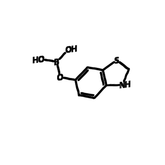 OB(O)Oc1ccc2c(c1)SCN2